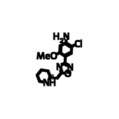 COc1cc(N)c(Cl)cc1-c1noc(C[C@@H]2CCCCN2)n1